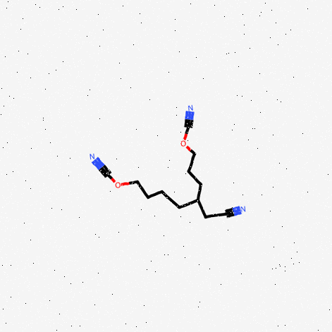 N#CCC(CCCCOC#N)CCCOC#N